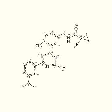 CC(C)c1cccc(-c2nc(O)nc(-c3cc(CNC(=O)C4(F)CC4)ccc3Cl)n2)c1